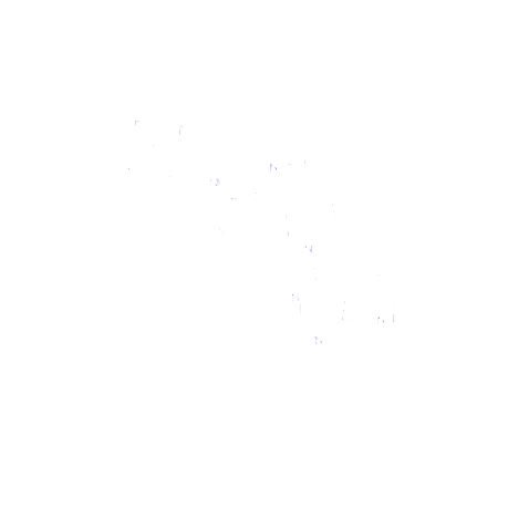 O=C(NCC1CC1(F)F)c1noc2c1CN(c1ncnc3[nH]ccc13)CC2